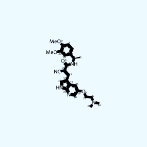 COc1ccc([C@@H](C)NC(=O)/C(C#N)=C/c2c[nH]c3ncc(OCCN(C)C)cc23)cc1OC